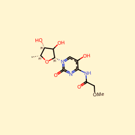 COCC(=O)Nc1nc(=O)n([C@@H]2O[C@H](C)[C@H](O)C2O)cc1O